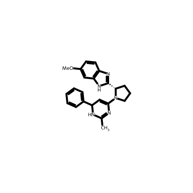 COc1ccc2nc([C@@H]3CCCN3C3=[C]C(c4ccccc4)NC(C)=N3)[nH]c2c1